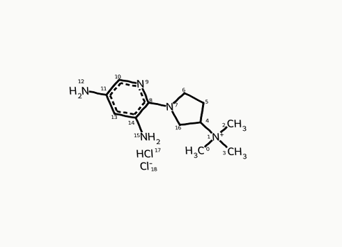 C[N+](C)(C)C1CCN(c2ncc(N)cc2N)C1.Cl.[Cl-]